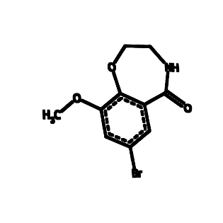 COc1cc(Br)cc2c1OCCNC2=O